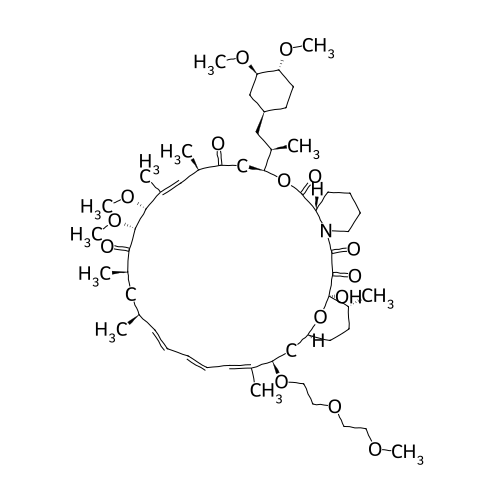 COCCOCCO[C@@H]1C[C@@H]2CC[C@@H](C)[C@@](O)(O2)C(=O)C(=O)N2CCCC[C@H]2C(=O)O[C@H]([C@H](C)C[C@@H]2CC[C@@H](OC)[C@H](OC)C2)CC(=O)[C@H](C)/C=C(\C)[C@@H](OC)[C@@H](OC)C(=O)[C@H](C)C[C@H](C)/C=C/C=C/C=C/1C